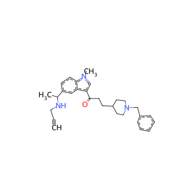 C#CCNC(C)c1ccc2c(c1)c(C(=O)CCC1CCN(Cc3ccccc3)CC1)cn2C